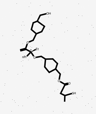 C=C(OCC1CCC(CO)CC1)[C@@](CC)(CCC)OCC1CCC(COC(=O)CC(C)S)CC1